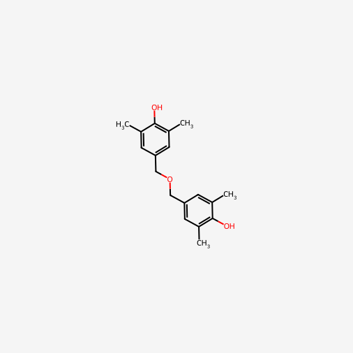 Cc1cc(COCc2cc(C)c(O)c(C)c2)cc(C)c1O